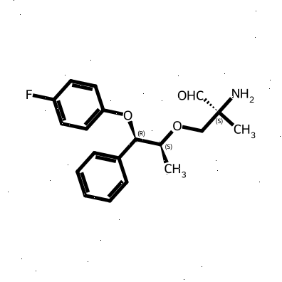 C[C@H](OC[C@](C)(N)C=O)[C@H](Oc1ccc(F)cc1)c1ccccc1